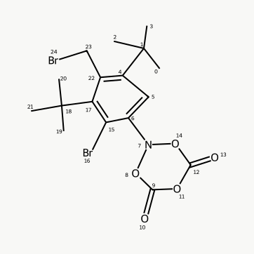 CC(C)(C)c1cc(N2OC(=O)OC(=O)O2)c(Br)c(C(C)(C)C)c1CBr